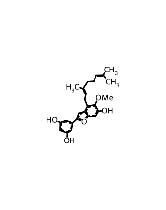 COc1c(O)cc2oc(-c3cc(O)cc(O)c3)cc2c1C/C=C(\C)CCC=C(C)C